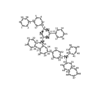 c1ccc(-c2cccc(-c3nc(-c4ccccc4)nc(-n4c5ccccc5c5ccc(-c6ccc(N(c7ccccc7)c7ccc8ccccc8c7)cc6)cc54)n3)c2)cc1